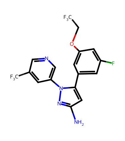 Nc1cc(-c2cc(F)cc(OCC(F)(F)F)c2)n(-c2cncc(C(F)(F)F)c2)n1